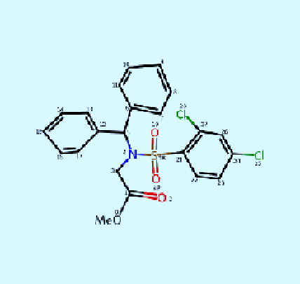 COC(=O)CN(C(c1ccccc1)c1ccccc1)S(=O)(=O)c1ccc(Cl)cc1Cl